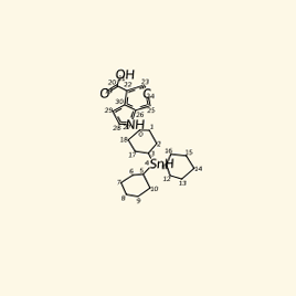 C1CC[CH]([SnH]([CH]2CCCCC2)[CH]2CCCCC2)CC1.O=C(O)c1cccc2[nH]ccc12